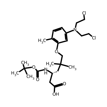 Cc1ccc(N(CCCl)CCCl)cc1OCC(C)(C)C[C@H](CC(=O)O)NC(=O)OC(C)(C)C